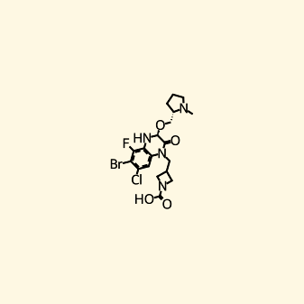 CN1CCC[C@H]1CO[C@@H]1Nc2c(cc(Cl)c(Br)c2F)N(CC2CN(C(=O)O)C2)C1=O